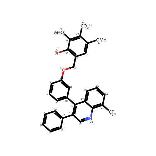 COc1cc(COc2cccc(-c3c(-c4ccccc4)cnc4c(C(F)(F)F)cccc34)c2)c(Br)c(OC)c1C(=O)O